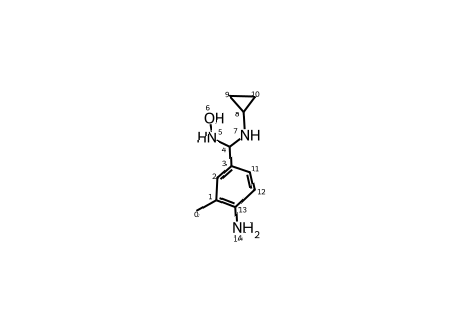 Cc1cc(C(NO)NC2CC2)ccc1N